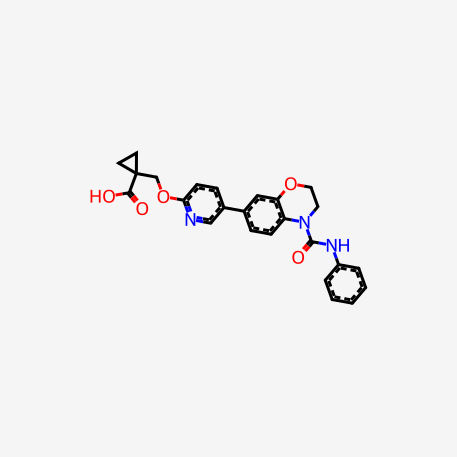 O=C(Nc1ccccc1)N1CCOc2cc(-c3ccc(OCC4(C(=O)O)CC4)nc3)ccc21